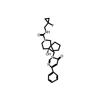 O=C(NCC1(F)CC1)N1CC[C@@](O)(Cn2cnc(-c3ccccc3)cc2=O)C2(CCCC2)C1